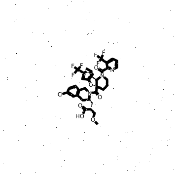 CCC[C@H]1N(C(=O)c2ncccc2C(F)(F)F)CCC[C@@]1(Oc1csc(C(F)(F)F)c1)C(=O)N1Cc2ccc(Cl)cc2C[C@@H]1C[C@H](COC)C(=O)O